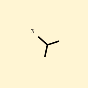 CC(C)C.[Ti]